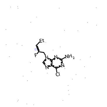 CC/C=C(/F)Cn1cnc2c(Cl)nc(N)nc21